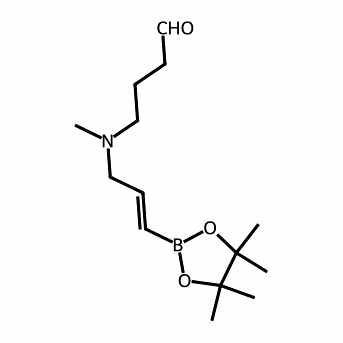 CN(C/C=C/B1OC(C)(C)C(C)(C)O1)CCCC=O